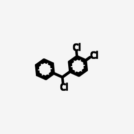 Clc1ccc(C(Cl)c2ccccc2)cc1Cl